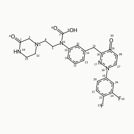 O=C1CN(CCN(C(=O)O)c2cccc(Cc3nn(-c4ccc(F)c(F)c4)ccc3=O)c2)CCN1